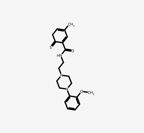 COc1ccccc1N1CCN(CCNC(=O)C2=CC(C)=CCC2=S)CC1